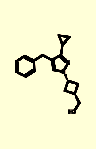 OC[C@H]1C[C@H](n2cc(Cc3ccccc3)c(C3CC3)n2)C1